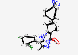 Cc1nn2c(=O)c3ccc(-c4ccc(N)cc4)cc3[nH]c2c1-c1ccc(F)cc1F